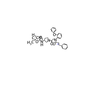 CC(C)(C)OC(=O)NC1CCN(C(=O)CN(C(=O)/C=C/c2ccccc2)c2ccccc2Oc2ccccc2)C1